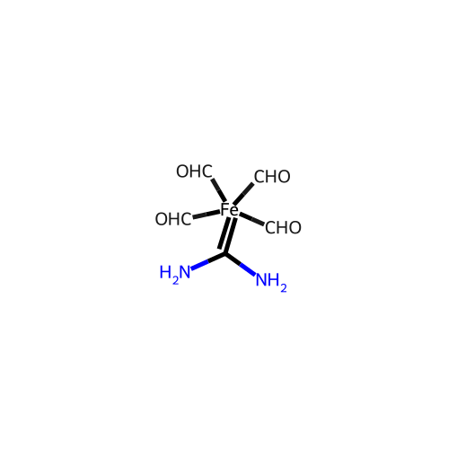 N[C](N)=[Fe]([CH]=O)([CH]=O)([CH]=O)[CH]=O